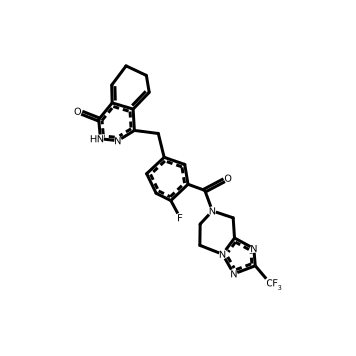 O=C(c1cc(Cc2n[nH]c(=O)c3c2=CCCC=3)ccc1F)N1CCn2nc(C(F)(F)F)nc2C1